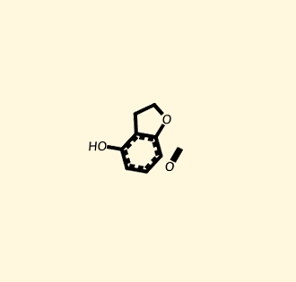 C=O.Oc1cccc2c1CCO2